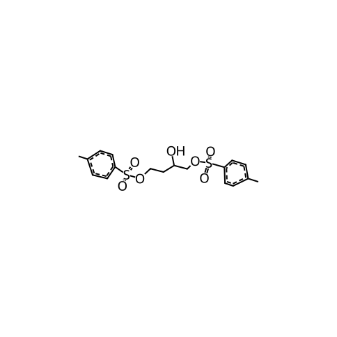 Cc1ccc(S(=O)(=O)OCCC(O)COS(=O)(=O)c2ccc(C)cc2)cc1